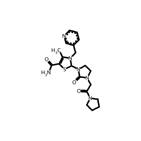 CC1=C(C(N)=O)SC(N2CCN(CC(=O)N3CCCC3)C2=O)N1Cc1cccnc1